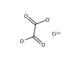 O=C([O-])C(=O)[O-].[Cr+2]